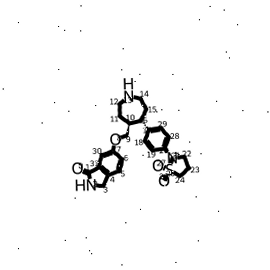 O=C1NCc2ccc(OC[C@H]3CCNCC[C@@H]3c3ccc(N4CCCS4(=O)=O)cc3)cc21